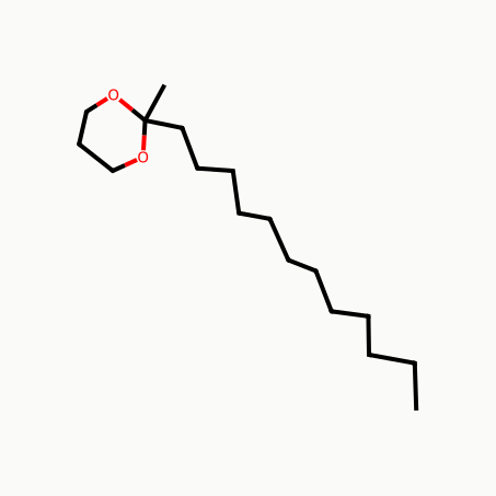 CCCCCCCCCCCCC1(C)OCCCO1